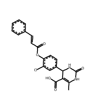 CC1=C(C(=O)O)C(c2ccc(OC(=O)C=Cc3ccccc3)c(Cl)c2)NC(=O)N1